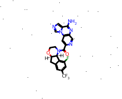 Nc1nc2cnc(C(=O)N3CCO[C@@H]4Cc5cc(C(F)(F)F)cc(F)c5[C@@H]43)cc2n2cncc12